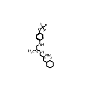 C[C@@H](CNc1ccc(OC(F)(F)F)cc1)NC[C@@H](N)CC1CCCCC1